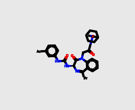 CC(=O)c1cccc(NC(=O)N[C@@H]2N=C(C(C)C)c3ccccc3N(CC(=O)N3CC4CCC(CC4)C3)C2=O)c1